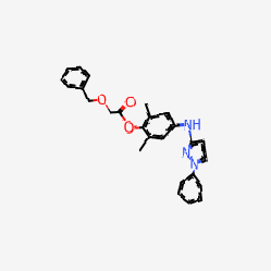 Cc1cc(Nc2ccn(-c3ccccc3)n2)cc(C)c1OC(=O)COCc1ccccc1